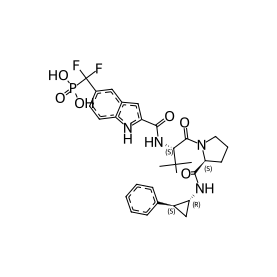 CC(C)(C)[C@H](NC(=O)c1cc2cc(C(F)(F)P(=O)(O)O)ccc2[nH]1)C(=O)N1CCC[C@H]1C(=O)N[C@@H]1C[C@H]1c1ccccc1